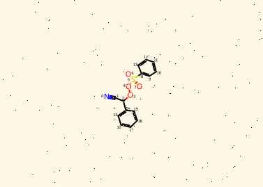 N#CC(OOS(=O)(=O)c1ccccc1)c1ccccc1